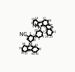 N#Cc1cc(-c2cccc(-n3c4ncccc4c4ccc5sc6ccccc6c5c43)c2)cc(-n2c3ccccc3c3ccccc32)c1